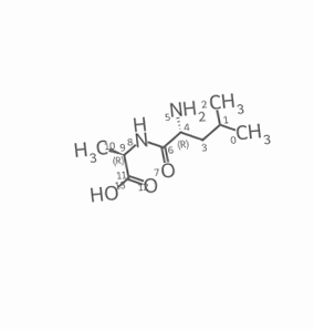 CC(C)C[C@@H](N)C(=O)N[C@H](C)C(=O)O